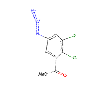 COC(=O)c1cc(N=[N+]=[N-])cc(F)c1Cl